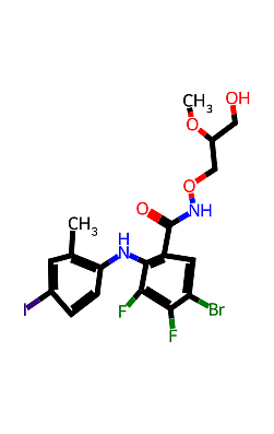 COC(CO)CONC(=O)c1cc(Br)c(F)c(F)c1Nc1ccc(I)cc1C